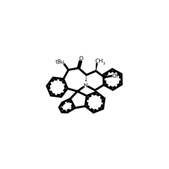 C[C@@H](CO)[C@H]1C(=O)C(C(C)(C)C)c2ccccc2C2(c3ccccc3-c3ccccc32)N1Cc1ccccc1